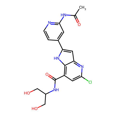 CC(=O)Nc1cc(-c2cc3nc(Cl)cc(C(=O)NC(CO)CO)c3[nH]2)ccn1